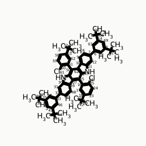 CC(C)(C)c1cc(-c2ccc3c(c2)[nH]c2c(-c4cc(C(C)(C)C)ccc4Cl)c4c([nH]c5cc(-c6cc(C(C)(C)C)cc(C(C)(C)C)c6)ccc54)c(-c4cc(C(C)(C)C)ccc4Cl)c23)cc(C(C)(C)C)c1